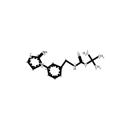 CC(C)(C)OC(=O)NCc1cccc(-n2ccsc2=N)c1